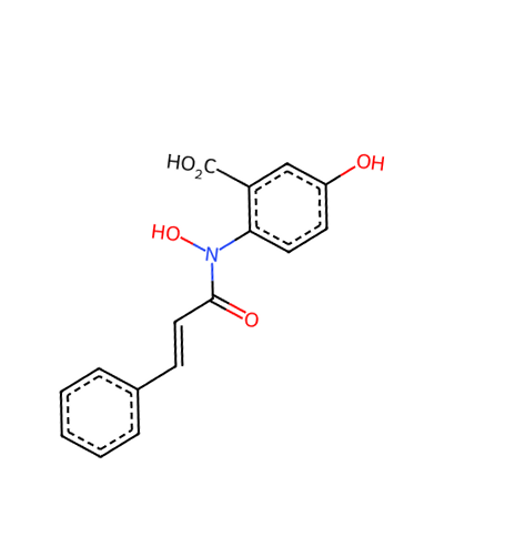 O=C(O)c1cc(O)ccc1N(O)C(=O)C=Cc1ccccc1